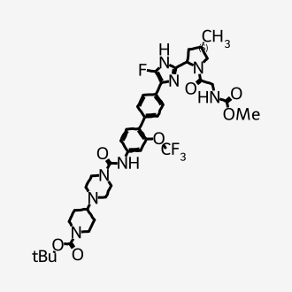 COC(=O)NCC(=O)N1C[C@@H](C)CC1c1nc(-c2ccc(-c3ccc(NC(=O)N4CCN(C5CCN(C(=O)OC(C)(C)C)CC5)CC4)cc3OC(F)(F)F)cc2)c(F)[nH]1